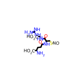 N=C(N)N.NC(CCC(=O)NC(CSN=O)C(=O)NCC(=O)O)C(=O)O